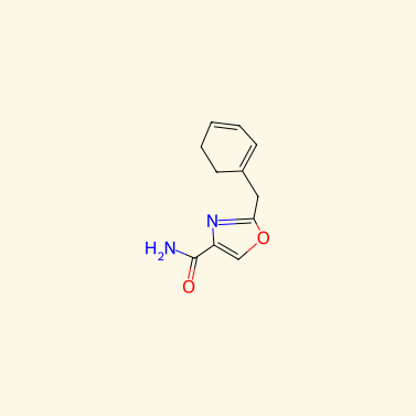 NC(=O)c1coc(CC2=CC=CCC2)n1